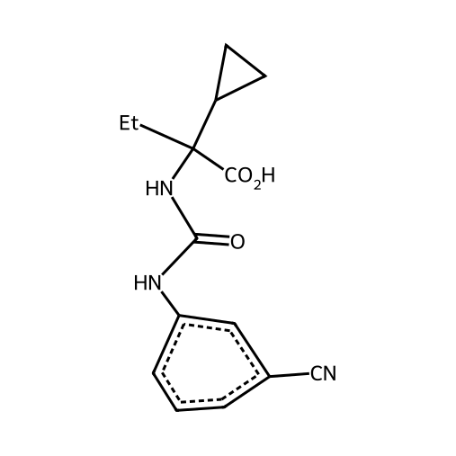 CCC(NC(=O)Nc1cccc(C#N)c1)(C(=O)O)C1CC1